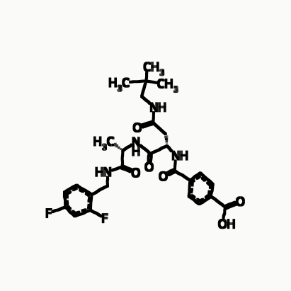 C[C@H](NC(=O)[C@H](CC(=O)NCC(C)(C)C)NC(=O)c1ccc(C(=O)O)cc1)C(=O)NCc1ccc(F)cc1F